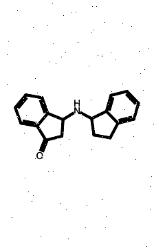 O=C1CC(NC2CCc3ccccc32)c2ccccc21